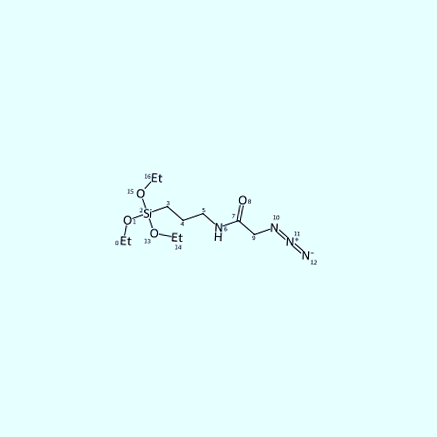 CCO[Si](CCCNC(=O)CN=[N+]=[N-])(OCC)OCC